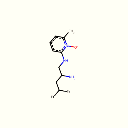 CCC(CC)CC(N)CNc1cccc(C)[n+]1[O-]